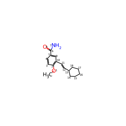 COc1ccc(C(N)=O)cc1C=CC1CCCCC1